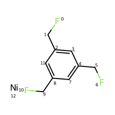 FCc1[c]c(CF)cc(CF)c1.[Ni]